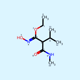 CCO/C(=N\O)C(C(=O)NC)C(C)C